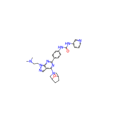 CN(C)CCn1ncc2c(N3CC4CCC(C3)O4)nc(-c3ccc(NC(=O)Nc4cccnc4)cc3)nc21